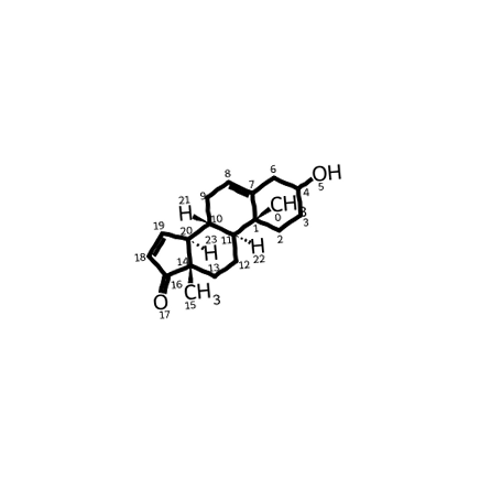 C[C@]12CCC(O)CC1=CC[C@@H]1[C@@H]2CC[C@]2(C)C(=O)C=C[C@@H]12